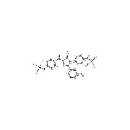 O=C1C(Nc2ccc(OC(F)(F)F)cc2)=CC(c2cccc(Cl)c2)N1c1ccc(OC(F)(F)F)cc1